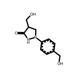 O=C1NN(c2ccc(CO)cc2)CC1CO